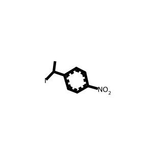 CC(I)c1ccc([N+](=O)[O-])cc1